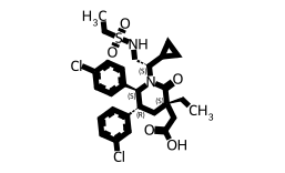 CC[C@@]1(CC(=O)O)C[C@H](c2cccc(Cl)c2)[C@@H](c2ccc(Cl)cc2)N([C@H](CNS(=O)(=O)CC)C2CC2)C1=O